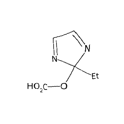 CCC1(OC(=O)O)N=CC=N1